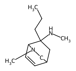 CCCC1(NC)CC2C=CC1N(C)C2